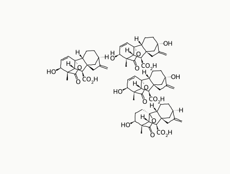 C=C1C[C@]23C[C@@]1(O)CC[C@H]2[C@@]12C=C[C@H](O)[C@@](C)(C(=O)O1)[C@H]2[C@@H]3C(=O)O.C=C1C[C@]23C[C@@]1(O)CC[C@H]2[C@@]12C=C[C@H](O)[C@@](C)(C(=O)O1)[C@H]2[C@@H]3C(=O)O.C=C1C[C@]23C[C@H]1CC[C@H]2[C@@]12C=C[C@H](O)[C@@](C)(C(=O)O1)[C@H]2[C@@H]3C(=O)O.C=C1C[C@]23C[C@H]1CC[C@H]2[C@@]12CC[C@H](O)[C@@](C)(C(=O)O1)[C@H]2[C@@H]3C(=O)O